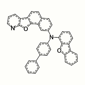 c1ccc(-c2ccc(N(c3ccc4ccc5c6cccnc6oc5c4c3)c3cccc4c3oc3ccccc34)cc2)cc1